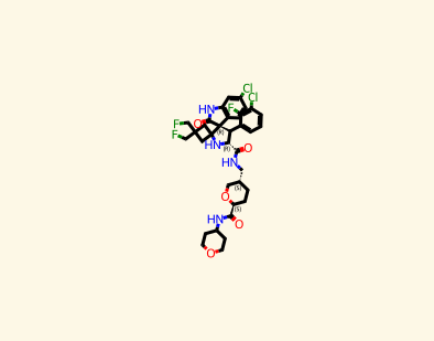 O=C(NC1CCOCC1)[C@@H]1CC[C@@H](CNC(=O)[C@@H]2NC3(CC(CF)(CF)C3)[C@@]3(C(=O)Nc4cc(Cl)ccc43)C2c2cccc(Cl)c2F)CO1